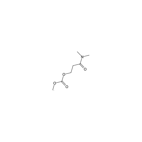 [CH2]OC(=O)OCCC(=O)N(C)C